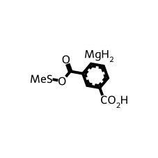 CSOC(=O)c1cccc(C(=O)O)c1.[MgH2]